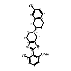 COc1cccc(Cl)c1-c1nc2c([nH]1)CN(C1CCc3ccc(Cl)cc3C1)CC2